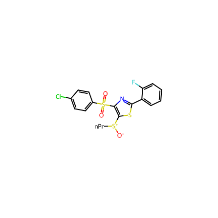 CCC[S+]([O-])c1sc(-c2ccccc2F)nc1S(=O)(=O)c1ccc(Cl)cc1